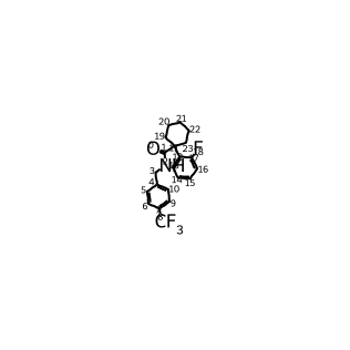 O=C(NCc1ccc(C(F)(F)F)cc1)C1(c2ccccc2F)CCCCC1